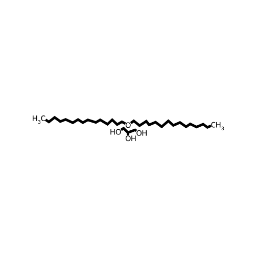 CCCCCCCCCCCCCCCOCCCCCCCCCCCCCCC.OCC(O)CO